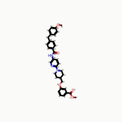 COC(=O)c1cccc(OCC2CCN(c3ccc(NC(=O)c4ccc(Cc5ccc(OC)cc5)cc4)cn3)CC2)c1